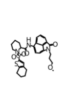 COCCCN1C(=O)c2cccc3c(NC(=O)C4CCCCN4S(=O)(=O)c4cc5c(s4)CCCC5)ccc1c23